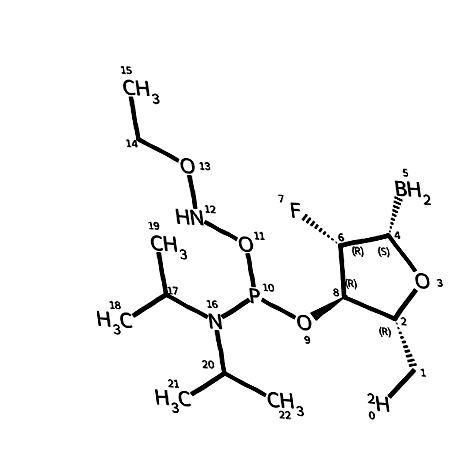 [2H]C[C@H]1O[C@@H](B)[C@@H](F)[C@@H]1OP(ONOCC)N(C(C)C)C(C)C